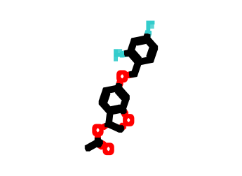 CC(=O)O[C@@H]1COc2cc(OCc3ccc(F)cc3F)ccc21